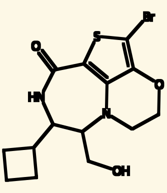 O=C1NC(C2CCC2)C(CO)N2CCOc3c(Br)sc1c32